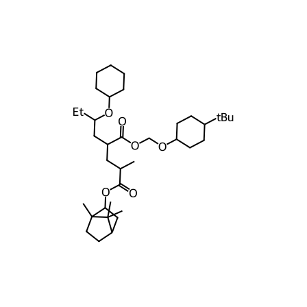 CCC(CC(CC(C)C(=O)OC1CC2CCC1(C)C2(C)C)C(=O)OCOC1CCC(C(C)(C)C)CC1)OC1CCCCC1